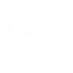 Cc1cccc(C)c1COC(=O)C1C(/C=C(/Cl)C(F)(F)F)C1(C)C